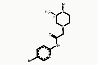 CC(=O)N1CCN(CC(=O)Nc2ccc(Br)cn2)C[C@H]1C